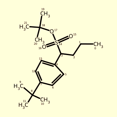 CCCC(c1ccc(C(C)(C)C)cc1)S(=O)(=O)OC(C)(C)C